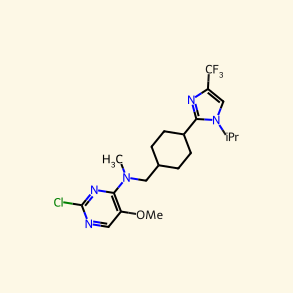 COc1cnc(Cl)nc1N(C)CC1CCC(c2nc(C(F)(F)F)cn2C(C)C)CC1